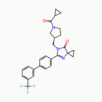 O=C(C1CC1)N1CC[C@@H](CN2C(=O)C3(CC3)N=C2c2ccc(-c3cccc(C(F)(F)F)c3)cc2)C1